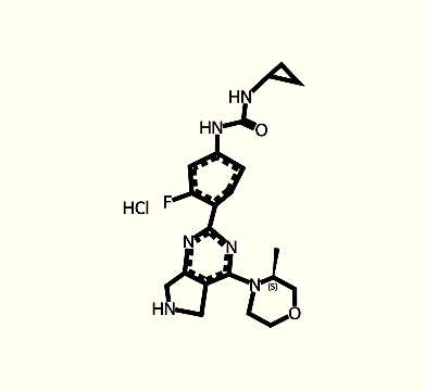 C[C@H]1COCCN1c1nc(-c2ccc(NC(=O)NC3CC3)cc2F)nc2c1CNC2.Cl